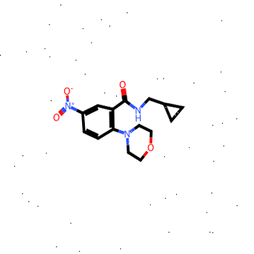 O=C(NCC1CC1)c1cc([N+](=O)[O-])ccc1N1CCOCC1